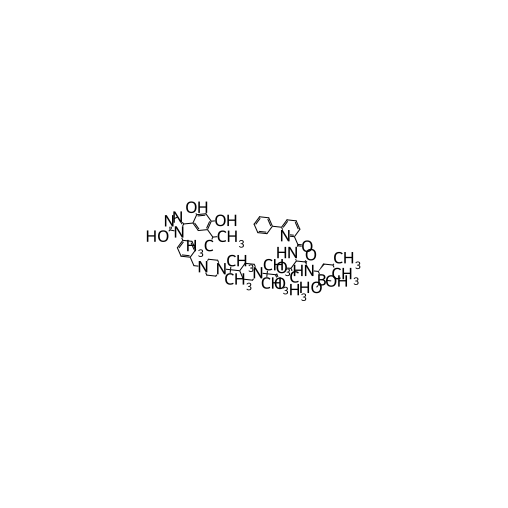 CC(C)C[C@H](NC(=O)[C@@H](NC(=O)c1cccc(-c2ccccc2)n1)[C@@H](C)OC(=O)C(C)(C)N1CCC(C(C)(C)N2CCN(Cc3ccc(-n4c(O)nnc4-c4cc(C(C)C)c(O)cc4O)cc3)CC2)CC1)B(O)O